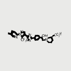 Cc1ccc(-n2ncc(-c3nc(-c4ccc([C@H](O)CN5CCC[C@H](CC(=O)O)C5)cc4)no3)c2C(F)(F)F)nc1